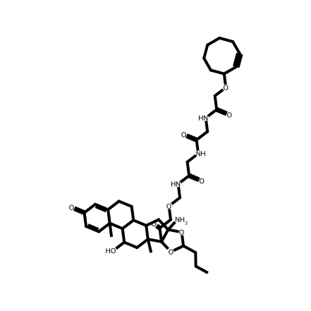 CCCC1OC2(N)CC3C4CCC5=CC(=O)C=CC5(C)C4C(O)CC3(C)C2(C(=O)COCNC(=O)CNC(=O)CNC(=O)COC2C#CCCCCC2)O1